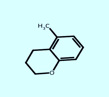 Cc1cccc2c1CCCO2